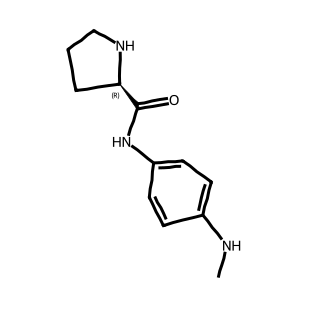 CNc1ccc(NC(=O)[C@H]2CCCN2)cc1